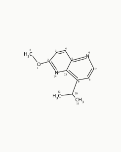 COc1ccc2nccc(C(C)C)c2n1